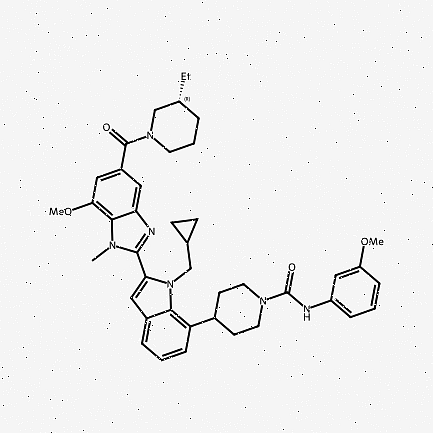 CC[C@@H]1CCCN(C(=O)c2cc(OC)c3c(c2)nc(-c2cc4cccc(C5CCN(C(=O)Nc6cccc(OC)c6)CC5)c4n2CC2CC2)n3C)C1